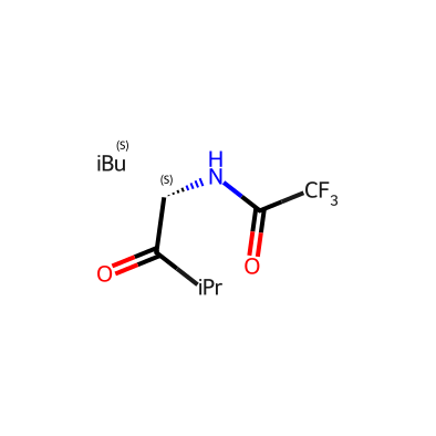 CC[C@H](C)[C@H](NC(=O)C(F)(F)F)C(=O)C(C)C